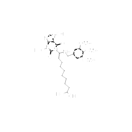 COc1cc(CNC(CCCCCCCCC(C)O)n2c(=O)c3c(ncn3C)n(C)c2=O)cc(OC)c1OC